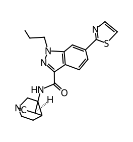 CCCn1nc(C(=O)N[C@@H]2CN3CCC2CC3)c2ccc(-c3nccs3)cc21